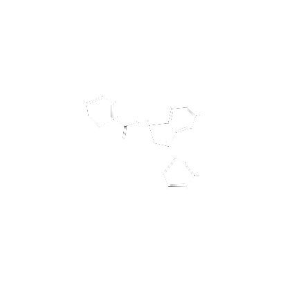 O=C(N[C@H]1C[C@@H](c2ccccc2)c2ccccc21)c1ccccc1